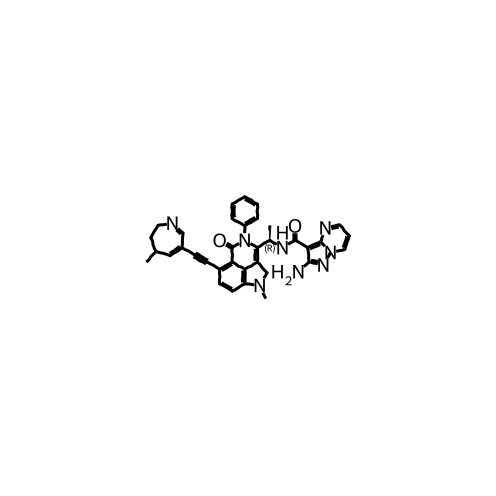 CC1C=C(C#Cc2ccc3c4c(c([C@@H](C)NC(=O)c5c(N)nn6cccnc56)n(-c5ccccc5)c(=O)c24)CN3C)C=NCC1